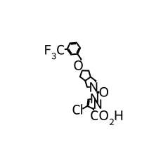 O=C(O)c1nn(C(=O)N2CC3CC(OCc4cccc(C(F)(F)F)c4)CC3C2)cc1Cl